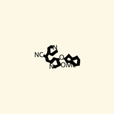 COc1cnc(C=C(C#N)c2ccncc2)cc1OC1Cc2ccccc2C1